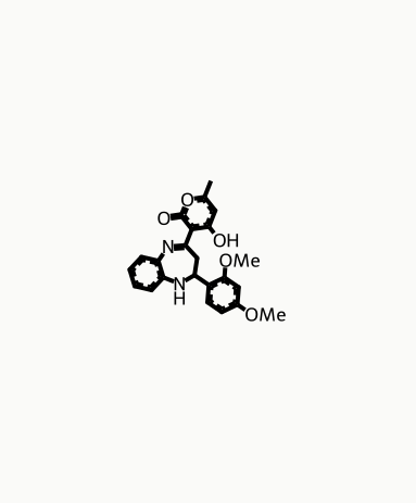 COc1ccc(C2CC(c3c(O)cc(C)oc3=O)=Nc3ccccc3N2)c(OC)c1